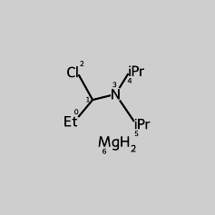 CCC(Cl)N(C(C)C)C(C)C.[MgH2]